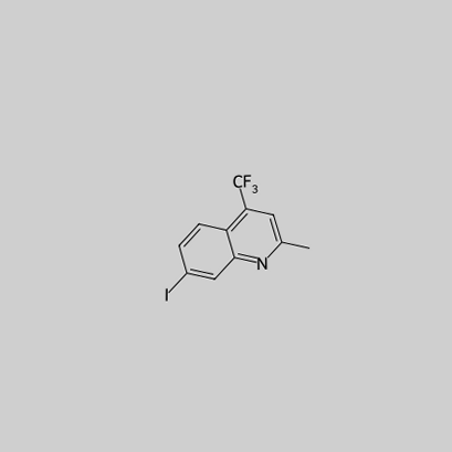 Cc1cc(C(F)(F)F)c2ccc(I)cc2n1